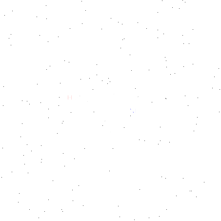 Cc1cc2cc(O)cc(Cl)c2[nH]1